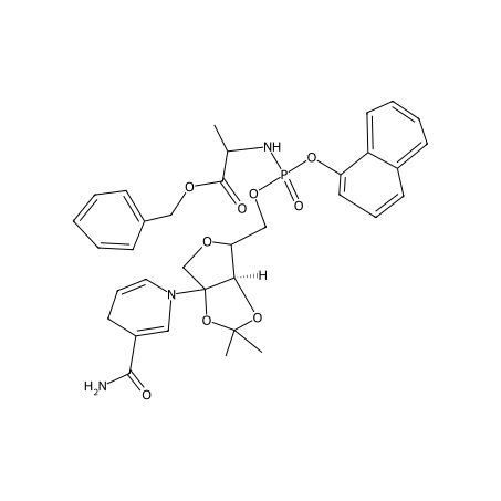 CC(NP(=O)(OCC1OCC2(N3C=CCC(C(N)=O)=C3)OC(C)(C)O[C@H]12)Oc1cccc2ccccc12)C(=O)OCc1ccccc1